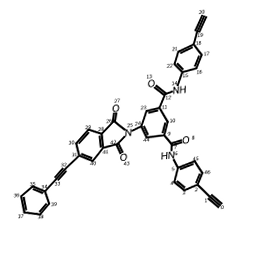 C#Cc1ccc(NC(=O)c2cc(C(=O)Nc3ccc(C#C)cc3)cc(N3C(=O)c4ccc(C#Cc5ccccc5)cc4C3=O)c2)cc1